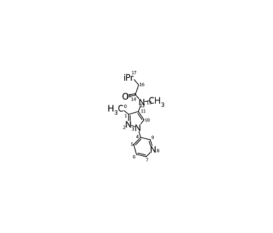 Cc1nn(-c2cccnc2)cc1N(C)C(=O)CC(C)C